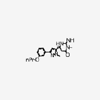 CCCOc1cccc(-c2cc([C@]3(C)CC(=O)N(C)C(=N)N3)n(C)n2)c1